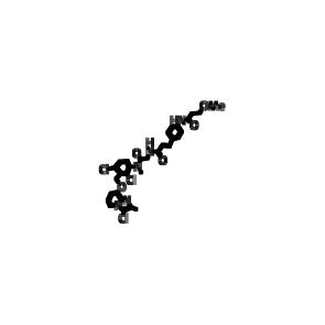 COCCC(=O)Nc1ccc(C=CC(=O)NCC(=O)N(C)c2ccc(Cl)c(COc3cccn4c(Cl)c(C)nc34)c2Cl)cc1